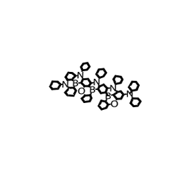 c1ccc(N(c2ccccc2)c2cc3c4c(c2)N(c2ccccc2)c2cc5c(cc2B4c2ccccc2O3)B2c3ccccc3Oc3c2c(cc2c3B3c4ccccc4N(c4ccccc4)c4cccc(c43)N2c2ccccc2)N5c2ccccc2)cc1